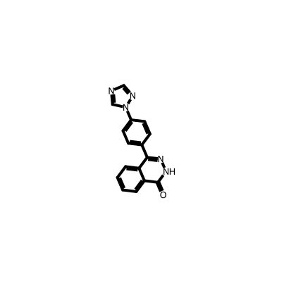 O=c1[nH]nc(-c2ccc(-n3cncn3)cc2)c2ccccc12